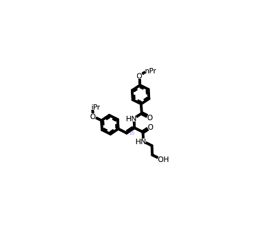 CCCOc1ccc(C(=O)N/C(=C\c2ccc(OC(C)C)cc2)C(=O)NCCO)cc1